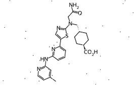 Cc1ccnc(Nc2cccc(-c3cnc(N(CC(N)=O)C[C@H]4CC[C@H](C(=O)O)CC4)s3)n2)c1